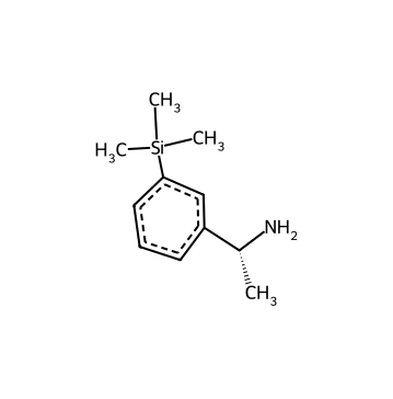 C[C@@H](N)c1cccc([Si](C)(C)C)c1